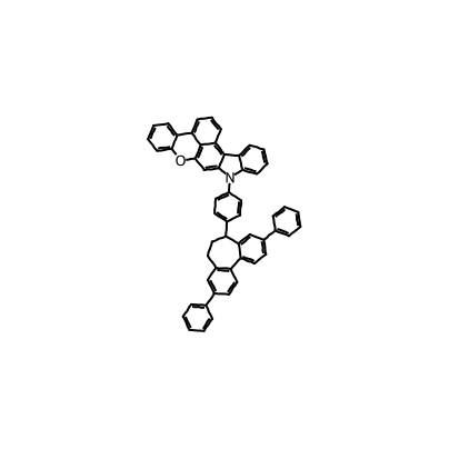 c1ccc(-c2ccc3c(c2)CCC(c2ccc(-n4c5ccccc5c5c6cccc7c6c(cc54)Oc4ccccc4-7)cc2)c2cc(-c4ccccc4)ccc2-3)cc1